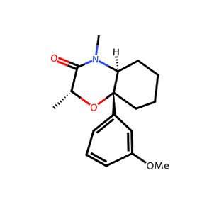 COc1cccc([C@]23CCCC[C@@H]2N(C)C(=O)[C@@H](C)O3)c1